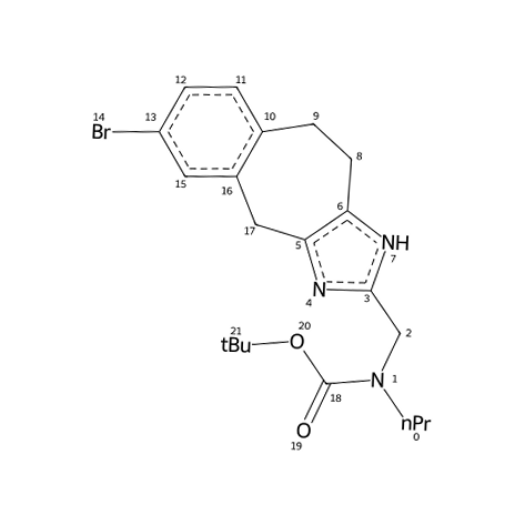 CCCN(Cc1nc2c([nH]1)CCc1ccc(Br)cc1C2)C(=O)OC(C)(C)C